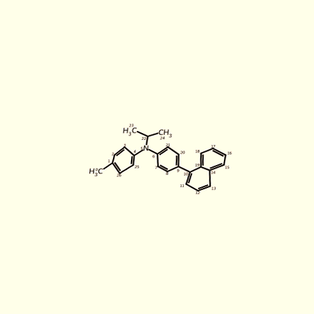 Cc1ccc(N(c2ccc(-c3cccc4ccccc34)cc2)C(C)C)cc1